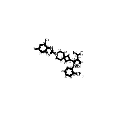 Cc1cc(F)c2nc(N3CCC4(CC3)CC(c3c(C(F)F)cnn3-c3ccccc3C(F)(F)F)C4)sc2c1